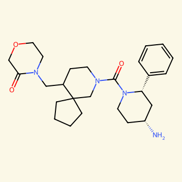 N[C@@H]1CCN(C(=O)N2CCC(CN3CCOCC3=O)C3(CCCC3)C2)[C@H](c2ccccc2)C1